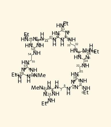 CCNC1N=C(NCCNC2NC(NC)=NC(NCC)N2)N=C(NCCNC2=NC(NCC)NC(NCCNC3=NC(NCC)NC(NCCNC4=NC(NCC)NC(NCCNC5=NC(NCC)NC(NC)N5)N4)N3)N2)N1